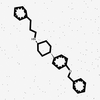 c1ccc(CCCN[C@H]2CC[C@@H](c3ccc(OCc4ccccc4)cc3)CC2)cc1